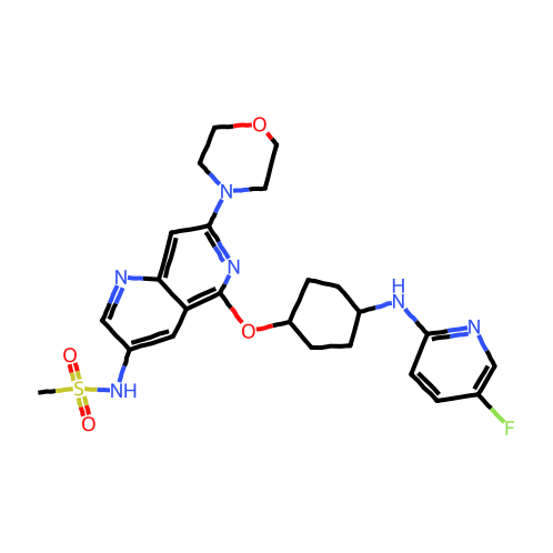 CS(=O)(=O)Nc1cnc2cc(N3CCOCC3)nc(OC3CCC(Nc4ccc(F)cn4)CC3)c2c1